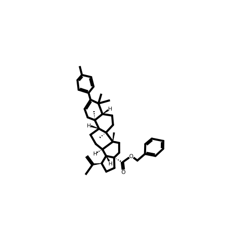 C=C(C)[C@@H]1CC[C@]2(C(=O)OCc3ccccc3)CC[C@]3(C)[C@H](CC[C@@H]4[C@@]5(C)CC=C(c6ccc(C)cc6)C(C)(C)[C@@H]5CC[C@]43C)[C@@H]12